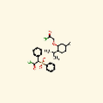 CC1CCC(C(C)C)C(OCC(=O)Cl)C1.O=C(Cl)C(c1ccccc1)S(=O)(=O)c1ccccc1